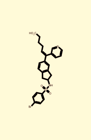 O=C(O)CCC/C=C(\c1cccnc1)c1ccc2c(c1)CC(NS(=O)(=O)c1ccc(Br)cc1)C2